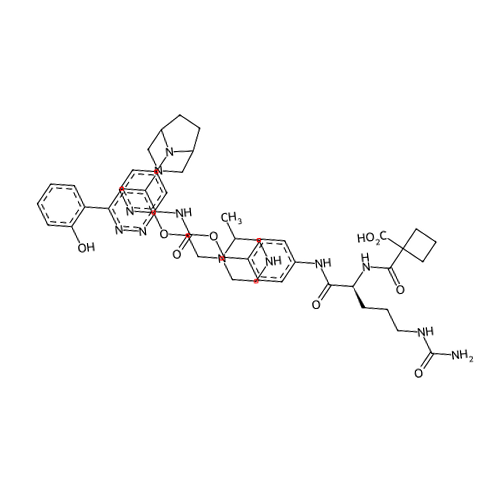 CC1CNCCN1CCOc1cc(N2C3CCC2CN(c2cc(-c4ccccc4O)nnc2NC(=O)OCc2ccc(NC(=O)[C@H](CCCNC(N)=O)NC(=O)C4(C(=O)O)CCC4)cc2)C3)ccn1